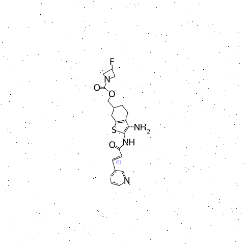 Nc1c(NC(=O)/C=C/c2cccnc2)sc2c1CCC(COC(=O)N1CC(F)C1)C2